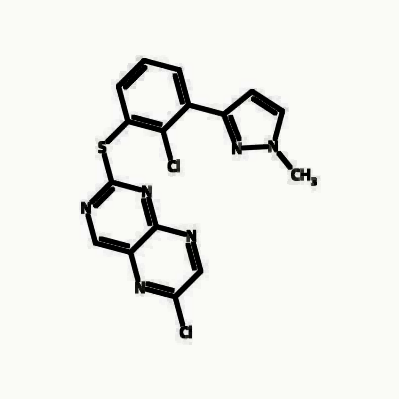 Cn1ccc(-c2cccc(Sc3ncc4nc(Cl)cnc4n3)c2Cl)n1